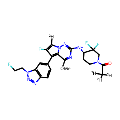 [2H]c1c(F)c(-c2ccc3nnn(CCF)c3c2)c2c(OC)nc(N[C@@H]3CCN(C(=O)C([2H])([2H])[2H])CC3(F)F)nn12